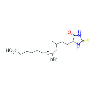 CCCC(CCCCCCC(=O)O)CC(C)CCC1NC(=S)NC1=O